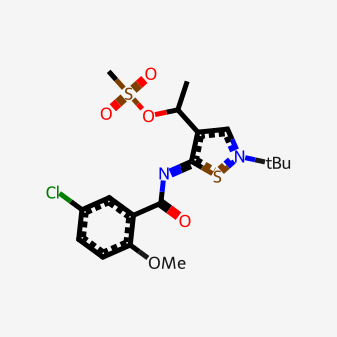 COc1ccc(Cl)cc1C(=O)/N=c1\sn(C(C)(C)C)cc1C(C)OS(C)(=O)=O